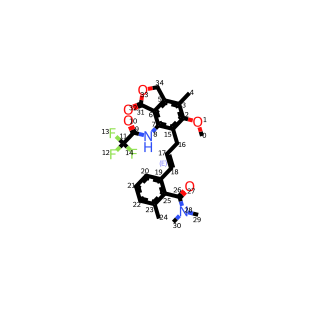 COc1c(C)c2c(c(NC(=O)C(F)(F)F)c1C/C=C/c1cccc(C)c1C(=O)N(C)C)C(=O)OC2